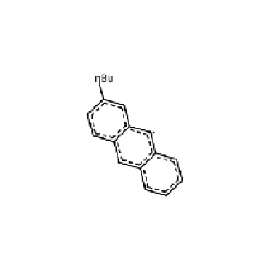 CCCCc1ccc2cc3ccccc3[c]c2c1